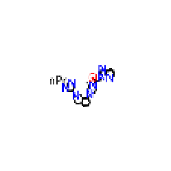 CCCc1ncc(N2CCc3cccc(N4CCN(C(=O)Cn5cnc6cccnc65)[C@H](C)C4)c3C2)cn1